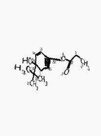 CCC(=O)OC1=CCC(O)(C(C)(C)C)C=C1